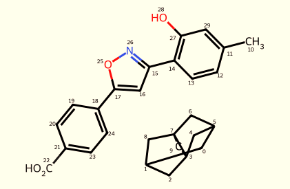 C1C2CC34CC1CC3(C2)C4.Cc1ccc(-c2cc(-c3ccc(C(=O)O)cc3)on2)c(O)c1